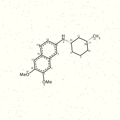 COc1cc2cc(N[C@H]3CCC[C@@H](C)C3)cnc2cc1OC